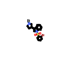 CCN1CCC(c2cn(S(=O)(=O)c3ccccc3Br)c3ccccc23)C1